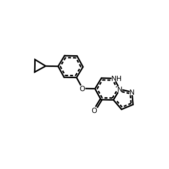 O=c1c(Oc2cccc(C3CC3)c2)c[nH]n2nccc12